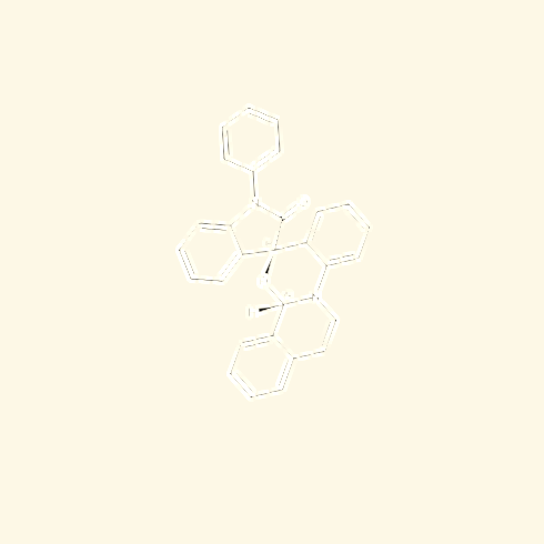 O=C1N(c2ccccc2)c2ccccc2[C@]12O[C@H]1c3ccccc3C=CN1c1ccccc12